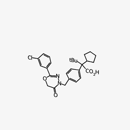 CC(C)(C)C(C(=O)O)(c1ccc(CN2N=C(c3cccc(Cl)c3)OCC2=O)cc1)C1CCCC1